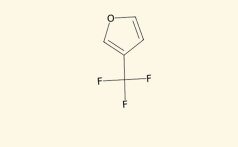 FC(F)(F)c1ccoc1